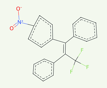 O=[N+]([O-])c1ccc(/C(=C(\c2ccccc2)C(F)(F)F)c2ccccc2)cc1